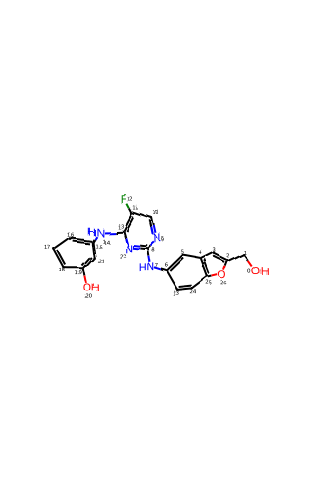 OCc1cc2cc(Nc3ncc(F)c(Nc4cccc(O)c4)n3)ccc2o1